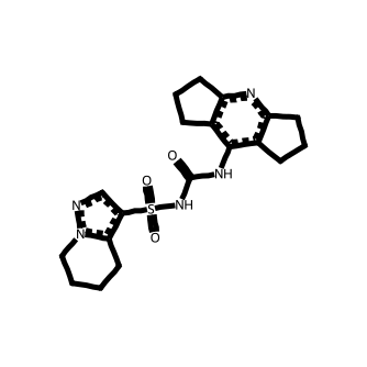 O=C(Nc1c2c(nc3c1CCC3)CCC2)NS(=O)(=O)c1cnn2c1CCCC2